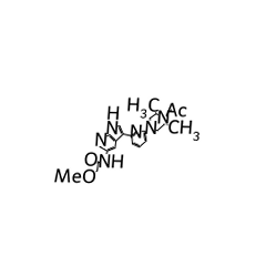 COCC(=O)Nc1cnc2[nH]cc(-c3cccc(N4C[C@@H](C)N(C(C)=O)[C@@H](C)C4)n3)c2c1